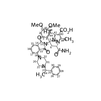 COc1ccc(C(CCC(N)=O)(N2C(=O)c3cccc(N4CCN(C(C)c5ccccc5)CC4)c3C2=O)n2nc(C)c(C(=O)O)c2C)cc1OC